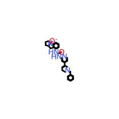 O=C(Nc1cc(C2=CCCN(Cc3ccccc3)C2)ccn1)Nc1cccc2c1CC1CCC[N+]21[O-]